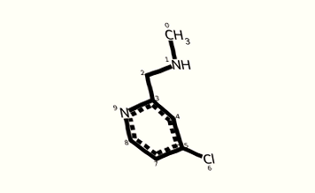 CNCc1cc(Cl)ccn1